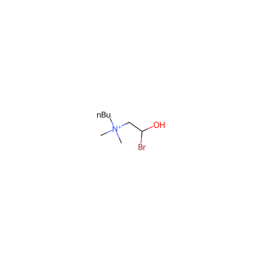 CCCC[N+](C)(C)CC(O)Br